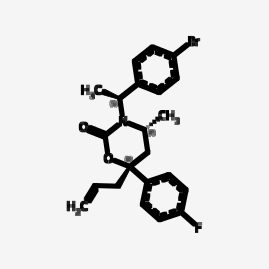 C=CC[C@]1(c2ccc(F)cc2)C[C@@H](C)N([C@@H](C)c2ccc(Br)cc2)C(=O)O1